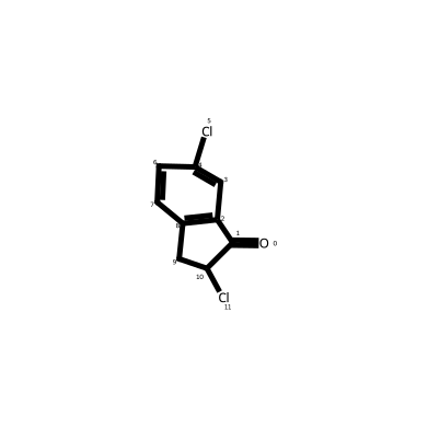 O=C1c2cc(Cl)ccc2CC1Cl